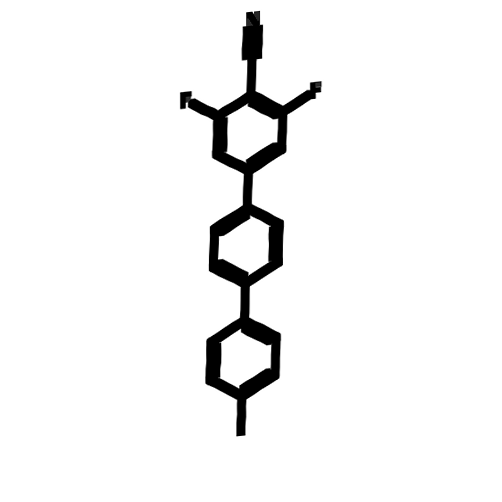 Cc1ccc(-c2ccc(-c3cc(F)c(C#N)c(F)c3)cc2)cc1